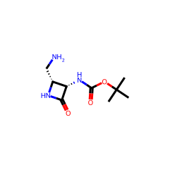 CC(C)(C)OC(=O)N[C@@H]1C(=O)N[C@@H]1CN